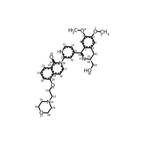 COc1cc2c(cc1OC)C(c1ccnc(-n3ccc4c(OCCN5CCOCC5)cccc4c3=O)c1)=N[C@H](CO)C2